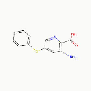 Nc1cc(Sc2ccccc2)cnc1C(=O)O